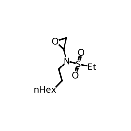 CCCCCCCCN(C1CO1)S(=O)(=O)CC